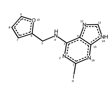 Ic1nc(NCc2ccco2)c2nc[nH]c2n1